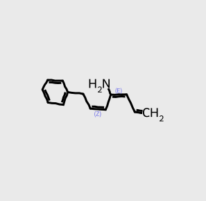 C=C/C=C(N)\C=C/Cc1ccccc1